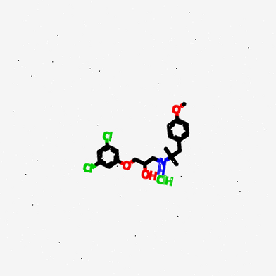 COc1ccc(CC(C)(C)NCC(O)COc2cc(Cl)cc(Cl)c2)cc1.Cl